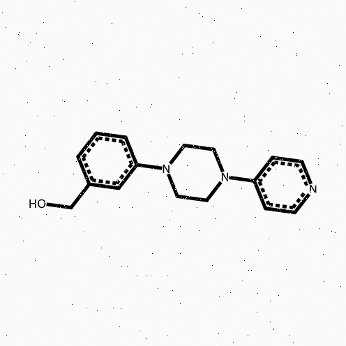 OCc1cccc(N2CCN(c3ccncc3)CC2)c1